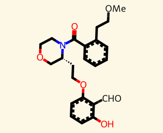 COCCc1ccccc1C(=O)N1CCOC[C@H]1CCOc1cccc(O)c1C=O